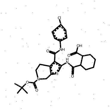 CC(C)(C)OC(=O)N1CCc2c(sc(NC(=O)C3CCCCC3C(=O)O)c2C(=O)Nc2ccc(Cl)cc2)C1